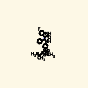 CN(C)CCN(c1ccc(N/C(=C2\C(=O)Nc3cc(F)ccc32)c2ccccc2)cc1)S(C)(=O)=O